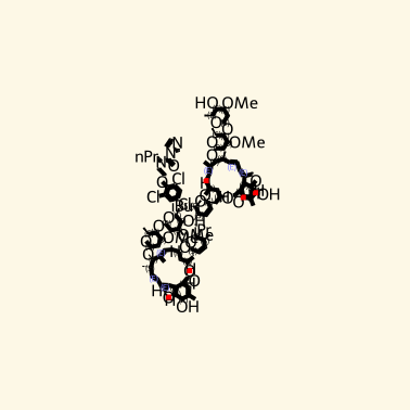 CCCN(CCOc1c(Cl)cc(Cl)cc1Cl)C(=O)n1ccnc1.CC[C@H](C)[C@H]1O[C@]2(C=C[C@@H]1C)C[C@@H]1C[C@@H](C/C=C(\C)[C@@H](O[C@H]3C[C@H](OC)[C@@H](O[C@H]4C[C@H](OC)[C@@H](O)[C@H](C)O4)[C@H](C)O3)[C@@H](C)/C=C/C=C3\CO[C@@H]4[C@H](O)C(C)=C[C@@H](C(=O)O1)[C@]34O)O2.CO[C@H]1C[C@H](O[C@H]2[C@H](C)O[C@@H](O[C@@H]3/C(C)=C/C[C@@H]4C[C@@H](C[C@]5(C=C[C@H](C)[C@@H](C(C)C)O5)O4)OC(=O)[C@@H]4C=C(C)[C@@H](O)[C@H]5OC/C(=C\C=C\[C@@H]3C)[C@]54O)C[C@@H]2OC)O[C@@H](C)[C@@H]1O